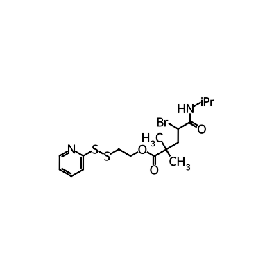 CC(C)NC(=O)C(Br)CC(C)(C)C(=O)OCCSSc1ccccn1